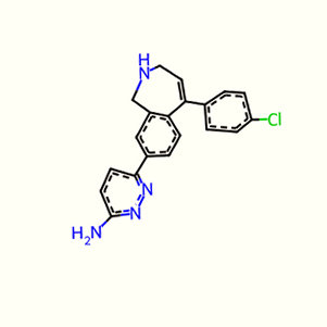 Nc1ccc(-c2ccc3c(c2)CNCC=C3c2ccc(Cl)cc2)nn1